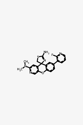 CN(C)c1cc2c(cn1)Oc1ccc(-c3cccnc3F)cc1C21CSC(N)=N1